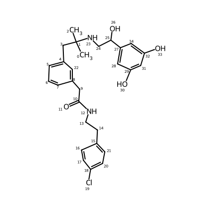 CC(C)(Cc1cccc(CC(=O)NCCc2ccc(Cl)cc2)c1)NCC(O)c1cc(O)cc(O)c1